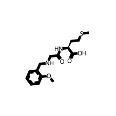 COc1ccccc1CNCC(=O)N[C@@H](CCSC)C(=O)O